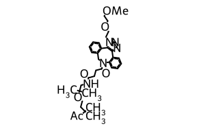 COCCOCCn1nnc2c1-c1ccccc1CN(C(=O)CCC(=O)NCC(C)(C)OCCC(C)(C)C(C)=O)c1ccccc1-2